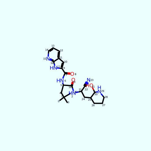 CC(C)(C)CC(NC(=O)c1cc2cccnc2[nH]1)C(=O)NC(C#N)CC1CCCNC1O